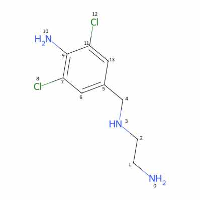 NCCNCc1cc(Cl)c(N)c(Cl)c1